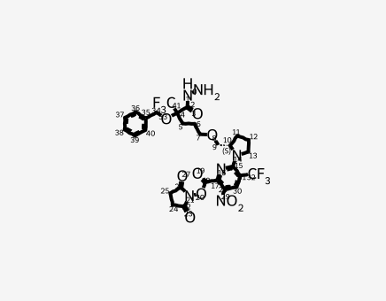 NNC(=O)C(CCCOC[C@@H]1CCCN1c1nc(C(=O)ON2C(=O)CCC2=O)c([N+](=O)[O-])cc1C(F)(F)F)(OCc1ccccc1)C(F)(F)F